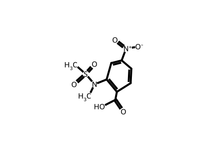 CN(c1cc([N+](=O)[O-])ccc1C(=O)O)S(C)(=O)=O